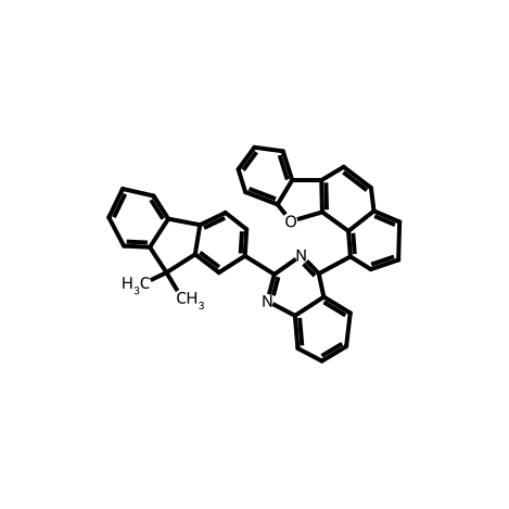 CC1(C)c2ccccc2-c2ccc(-c3nc(-c4cccc5ccc6c7ccccc7oc6c45)c4ccccc4n3)cc21